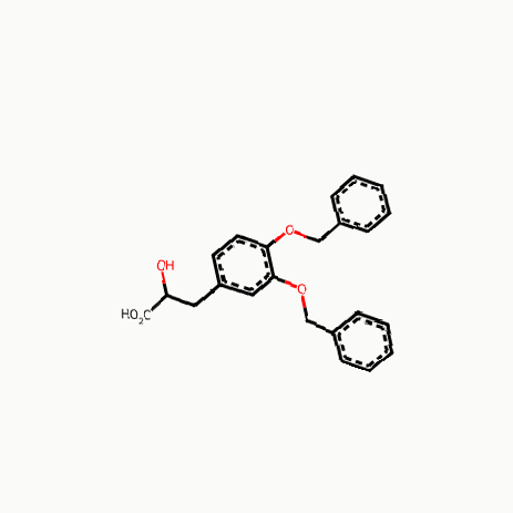 O=C(O)C(O)Cc1ccc(OCc2ccccc2)c(OCc2ccccc2)c1